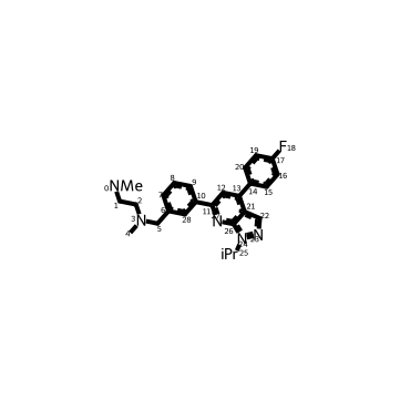 CNCCN(C)Cc1cccc(-c2cc(-c3ccc(F)cc3)c3cnn(C(C)C)c3n2)c1